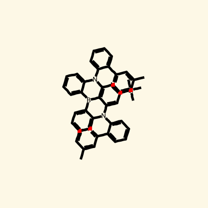 Cc1ccnc(-c2ccccc2N2c3ccccc3B3c4ccccc4N(c4ccccc4-c4cc(C)ccn4)c4cc([Si](C)(C)C)cc2c43)c1